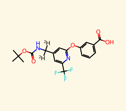 [2H]C([2H])(NC(=O)OC(C)(C)C)c1cc(Oc2cccc(C(=O)O)c2)nc(C(F)(F)F)c1